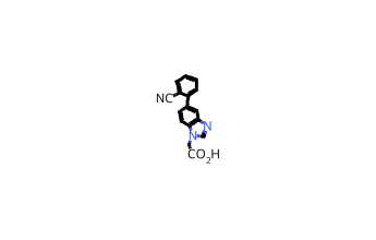 N#Cc1ccccc1-c1ccc2c(c1)ncn2CC(=O)O